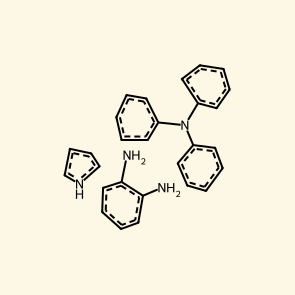 Nc1ccccc1N.c1cc[nH]c1.c1ccc(N(c2ccccc2)c2ccccc2)cc1